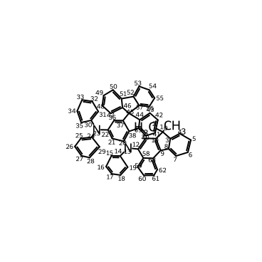 CC1(C)c2ccccc2-c2c1cc(N(c1ccccc1)c1cc(N(c3ccccc3)c3ccccc3)cc3c1-c1ccccc1C31c3ccccc3-c3ccccc31)c1ccccc21